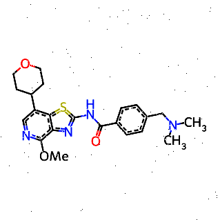 COc1ncc(C2CCOCC2)c2sc(NC(=O)c3ccc(CN(C)C)cc3)nc12